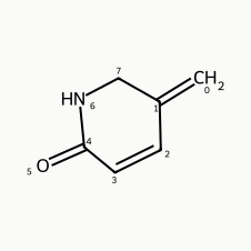 C=C1C=CC(=O)NC1